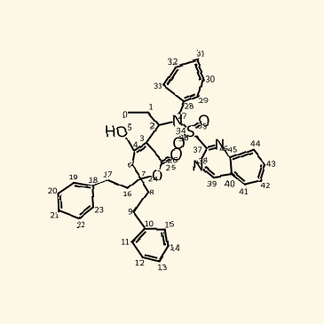 CCC(C1=C(O)CC(CCc2ccccc2)(CCc2ccccc2)OC1=O)N(c1ccccc1)S(=O)(=O)c1ncc2ccccc2n1